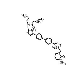 CCCN(Cc1ncc(-c2ccc(-c3ccc(-c4cnc(CN5CCC[C@@H](N)C5=O)[nH]4)cc3)cc2)[nH]1)C(=O)CNC=O